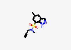 C#CCN(C)S(=O)(=O)c1cc(C)cc2cn[nH]c12